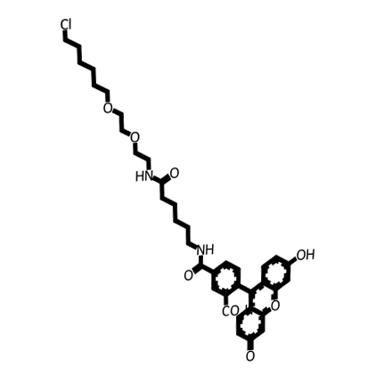 O=C(CCCCCNC(=O)c1ccc(-c2c3ccc(=O)cc-3oc3cc(O)ccc23)c(C(=O)O)c1)NCCOCCOCCCCCCCl